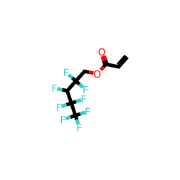 C=CC(=O)OCC(F)(F)C(F)C(F)(F)C(F)(F)F